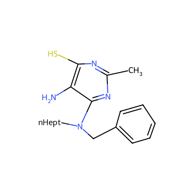 CCCCCCCN(Cc1ccccc1)c1nc(C)nc(S)c1N